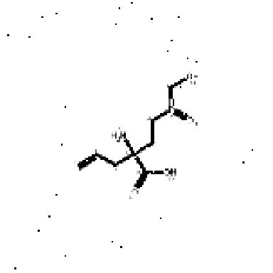 C=CCC(N)(CC[PH](=O)CO)C(=O)O